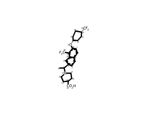 CC(c1ccc2ccc(O[C@H]3CC[C@@H](C(F)(F)F)CC3)c(C(F)(F)F)c2c1)N1CCC(C(=O)O)CC1